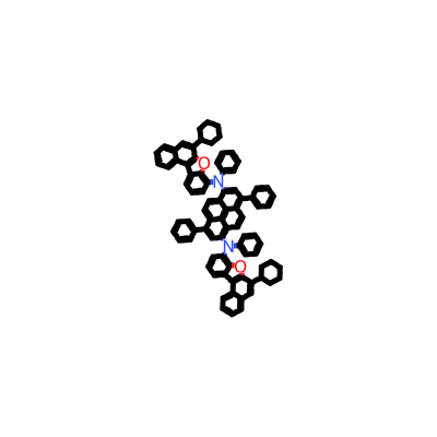 c1ccc(-c2cc(N(c3ccccc3)c3cccc4c3oc3c(C5CCCCC5)cc5ccccc5c34)c3ccc4c(-c5ccccc5)cc(N(c5ccccc5)c5cccc6c5oc5c(C7CCCCC7)cc7ccccc7c56)c5ccc2c3c45)cc1